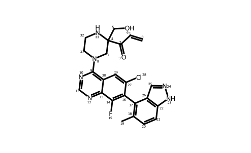 C=CC(=O)C1(CO)CN(c2ncnc3c(F)c(-c4c(C)ccc5[nH]ncc45)c(Cl)cc23)CCN1